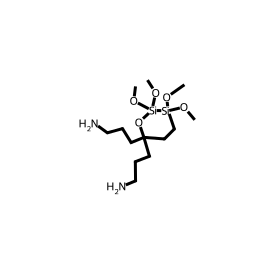 CO[Si]1(OC)CCC(CCCN)(CCCN)O[Si]1(OC)OC